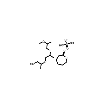 COC(C)COC(C)COC(C)CO.O=C1CCCCCO1.O=P(O)(O)O